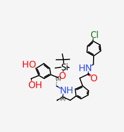 C[C@H](Cc1cccc(CC(=O)NCc2ccc(Cl)cc2)c1)NC[C@@H](O[Si](C)(C)C(C)(C)C)c1ccc(O)c(CO)c1